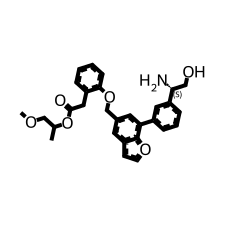 COCC(C)OC(=O)Cc1ccccc1OCc1cc(-c2cccc([C@H](N)CO)c2)c2occc2c1